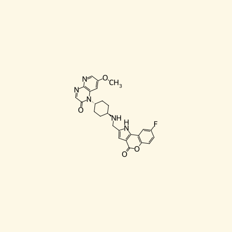 COc1cnc2ncc(=O)n([C@H]3CC[C@H](NCc4cc5c(=O)oc6ccc(F)cc6c5[nH]4)CC3)c2c1